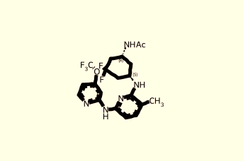 CC(=O)N[C@@H]1C[C@H](Nc2nc(Nc3cc(OC(F)(F)F)ccn3)ccc2C)CC(F)(F)C1